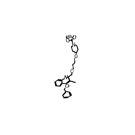 Cc1c(COCCCCOC2CCN(C(=O)OC(C)(C)C)CC2)nc2ccccc2c1OCc1ccccc1